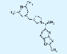 Cc1cc(C[C@H]2CCN([C@@H](C)c3ccc4oc(C)nc4n3)C2)cc(C)n1